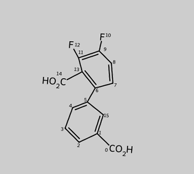 O=C(O)c1cccc(-c2ccc(F)c(F)c2C(=O)O)c1